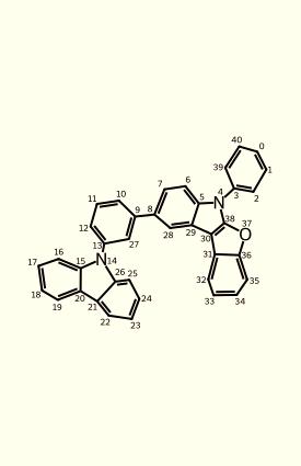 c1ccc(-n2c3ccc(-c4cccc(-n5c6ccccc6c6ccccc65)c4)cc3c3c4ccccc4oc32)cc1